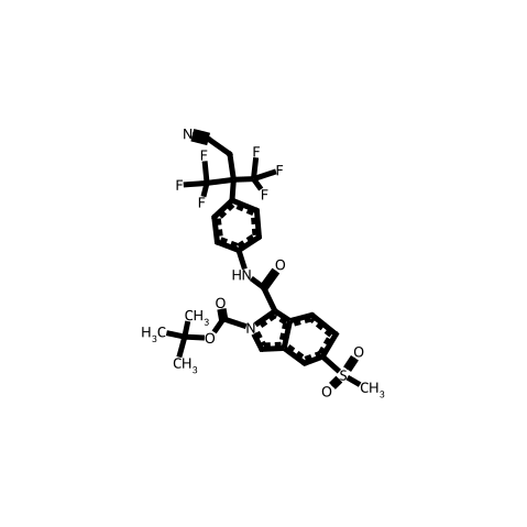 CC(C)(C)OC(=O)n1cc2cc(S(C)(=O)=O)ccc2c1C(=O)Nc1ccc(C(CC#N)(C(F)(F)F)C(F)(F)F)cc1